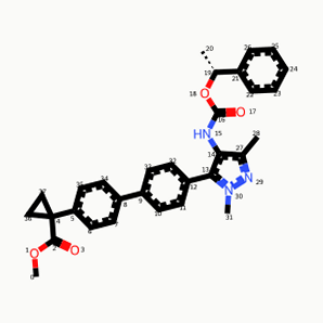 COC(=O)C1(c2ccc(-c3ccc(-c4c(NC(=O)O[C@H](C)c5ccccc5)c(C)nn4C)cc3)cc2)CC1